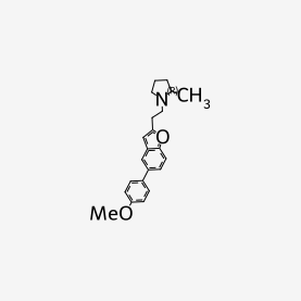 COc1ccc(-c2ccc3oc(CCN4CCC[C@H]4C)cc3c2)cc1